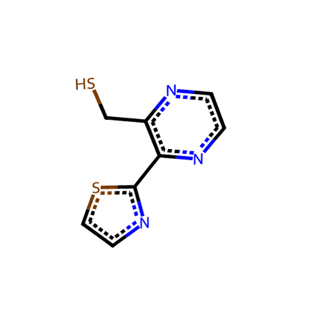 SCc1nccnc1-c1nccs1